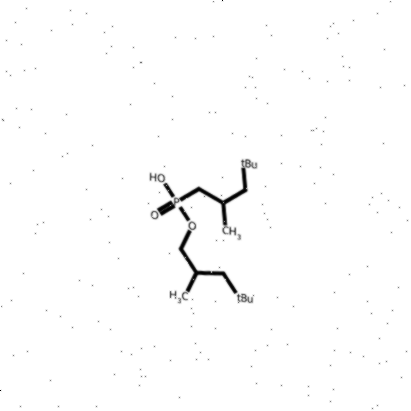 CC(COP(=O)(O)CC(C)CC(C)(C)C)CC(C)(C)C